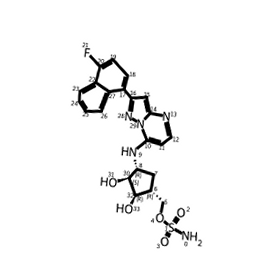 NS(=O)(=O)OC[C@H]1C[C@@H](Nc2ccnc3cc(-c4ccc(F)c5ccccc45)nn23)[C@H](O)[C@@H]1O